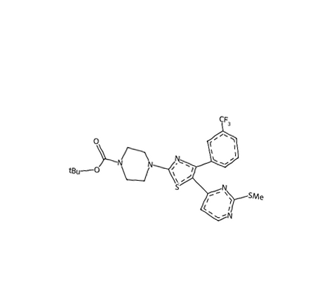 CSc1nccc(-c2sc(N3CCN(C(=O)OC(C)(C)C)CC3)nc2-c2cccc(C(F)(F)F)c2)n1